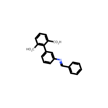 O=C(O)c1cccc(C(=O)O)c1-c1cccc(/N=C/c2ccccc2)c1